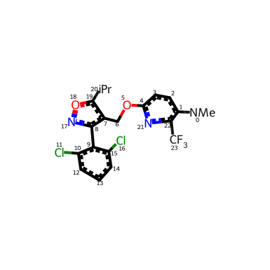 CNc1ccc(OCc2c(-c3c(Cl)cccc3Cl)noc2C(C)C)nc1C(F)(F)F